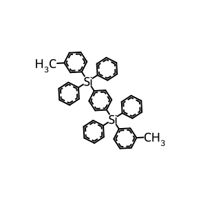 Cc1cccc([Si](c2ccccc2)(c2ccccc2)c2ccc([Si](c3ccccc3)(c3ccccc3)c3cccc(C)c3)cc2)c1